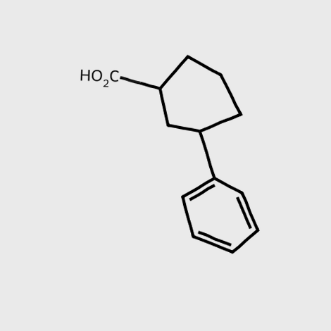 O=C(O)C1CCCC(c2ccccc2)C1